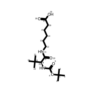 CC(C)(C)OC(=O)N[C@H](C(=O)NCCCCCC(=O)O)C(C)(C)C